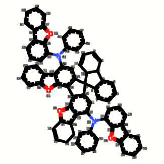 C1=CC2c3ccccc3C3(c4cc(N(c5ccccc5)c5cccc6c5oc5ccccc56)c5c6c(oc5c4-c4c3cc(N(c3ccccc3)c3cccc5c3oc3ccccc35)c3c4oc4ccccc43)C=CCC6)C2C=C1